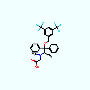 CC(N(C)CC(=O)O)C(OCc1cc(C(F)(F)F)cc(C(F)(F)F)c1)(c1ccccc1)c1ccccc1